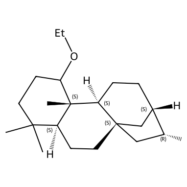 CCOC1CCC(C)(C)[C@@H]2CC[C@]34C[C@H](CC[C@@H]3[C@@]12C)[C@H](C)C4